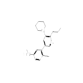 CCCc1ncc(-c2cc(NC)ccc2C)cc1N1CCCCC1